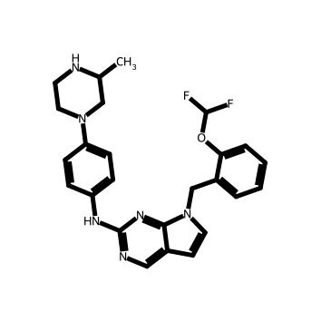 CC1CN(c2ccc(Nc3ncc4ccn(Cc5ccccc5OC(F)F)c4n3)cc2)CCN1